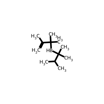 C=C(C)C(C)(C)BC(C)(C)C(C)C